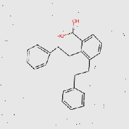 OC(O)c1cccc(CCc2ccccc2)c1CCc1ccccc1